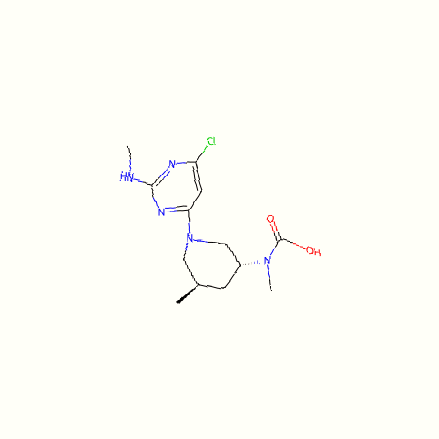 CNc1nc(Cl)cc(N2C[C@H](C)C[C@@H](N(C)C(=O)O)C2)n1